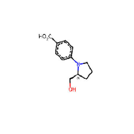 O=C(O)c1ccc(N2CCC[C@H]2CO)cc1